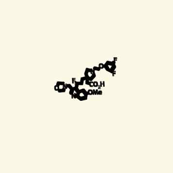 COc1ccc2ncc(CN3CCOCC3)c([C@H](F)CCC3(CC(=O)O)CCN(CCOc4cc(F)cc(F)c4)CC3)c2c1